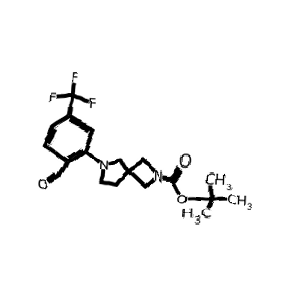 CC(C)(C)OC(=O)N1CC2(CCN(c3cc(C(F)(F)F)ccc3C=O)C2)C1